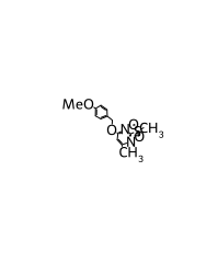 COc1ccc(COc2cc(C)nc(S(C)(=O)=O)n2)cc1